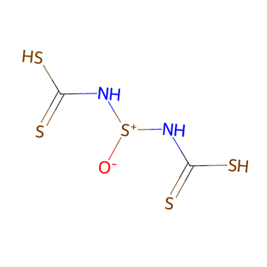 [O-][S+](NC(=S)S)NC(=S)S